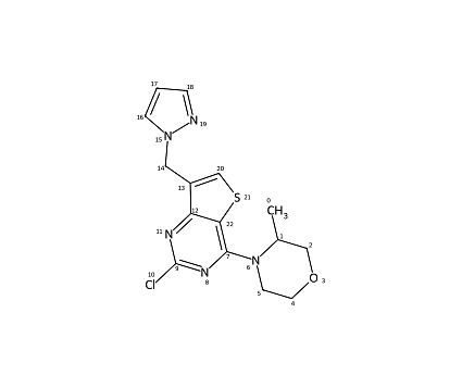 CC1COCCN1c1nc(Cl)nc2c(Cn3cccn3)csc12